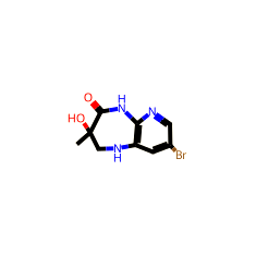 CC1(O)CNc2cc(Br)cnc2NC1=O